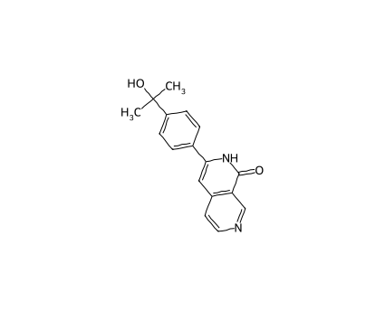 CC(C)(O)c1ccc(-c2cc3ccncc3c(=O)[nH]2)cc1